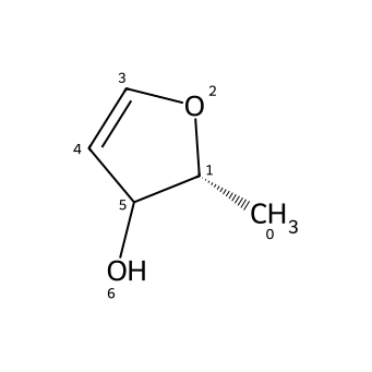 C[C@H]1OC=CC1O